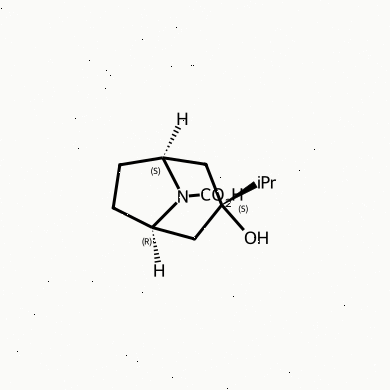 CC(C)[C@@]1(O)C[C@H]2CC[C@@H](C1)N2C(=O)O